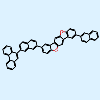 c1ccc2cc(-c3ccc4oc5cc6c(cc5c4c3)oc3ccc(-c4ccc5ccc(-c7cc8ccccc8c8ccccc78)cc5c4)cc36)ccc2c1